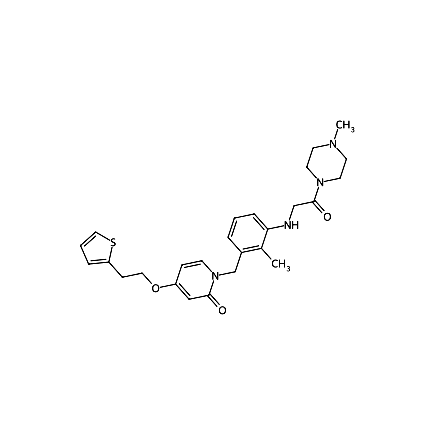 Cc1c(Cn2ccc(OCCc3cccs3)cc2=O)cccc1NCC(=O)N1CCN(C)CC1